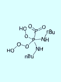 CCCCNP(NCCCC)(OO)(OOO)P(=O)=O